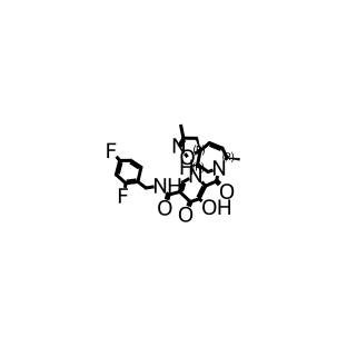 CC1=NO[C@@]2(C=C[C@@H](C)N3C[C@H]2n2cc(C(=O)NCc4ccc(F)cc4F)c(=O)c(O)c2C3=O)C1